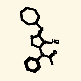 CC(=O)N(c1ccccc1)C1CSC(=NC2CCCCCC2)N1C.Cl